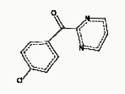 O=C(c1ccc(Cl)cc1)c1ncccn1